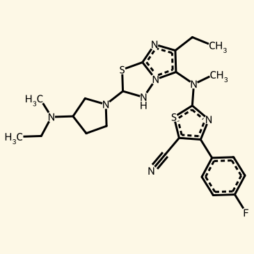 CCc1nc2n(c1N(C)c1nc(-c3ccc(F)cc3)c(C#N)s1)NC(N1CCC(N(C)CC)C1)S2